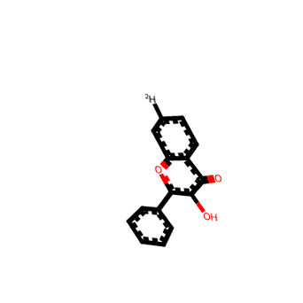 [2H]c1ccc2c(=O)c(O)c(-c3ccccc3)oc2c1